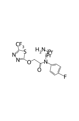 CC(C)N.CC(C)N(C(=O)COc1nnc(C(F)(F)F)s1)c1ccc(F)cc1